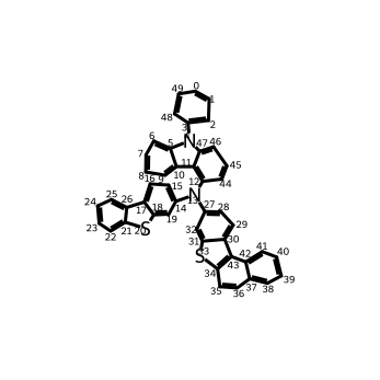 c1ccc(-n2c3ccccc3c3c(N(c4ccc5c(c4)sc4ccccc45)c4ccc5c(c4)sc4ccc6ccccc6c45)cccc32)cc1